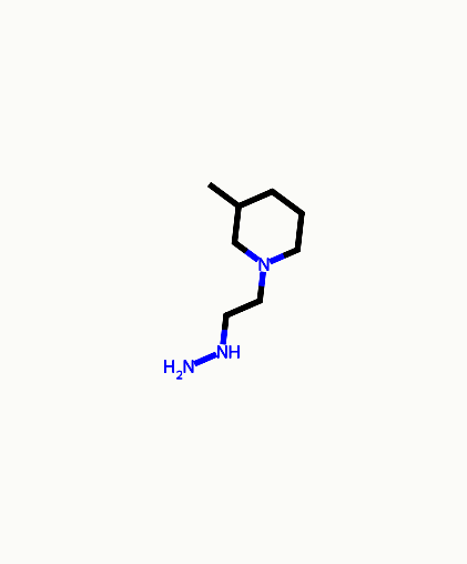 CC1CCCN(CCNN)C1